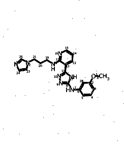 COc1cccc(Nc2nnc(-c3cccnc3NCCCn3ccnc3)[nH]2)c1